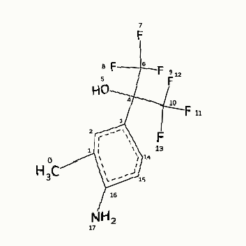 Cc1cc(C(O)(C(F)(F)F)C(F)(F)F)ccc1N